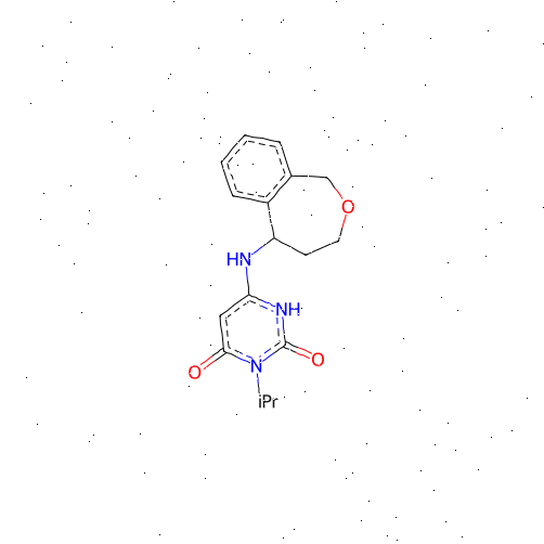 CC(C)n1c(=O)cc(NC2CCOCc3ccccc32)[nH]c1=O